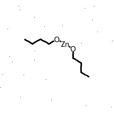 CCCC[O][Zn][O]CCCC